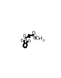 COC(=O)C12CC(C(=O)N3C(=O)c4ccccc4C3=O)(C1)C2